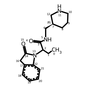 CCC(C(=O)NC[C@@H]1CCCNC1)N1C(=O)Cc2ccccc21